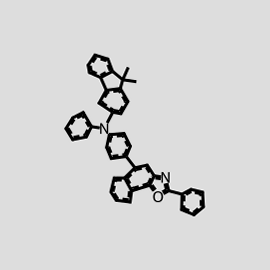 CC1(C)c2ccccc2-c2cc(N(c3ccccc3)c3ccc(-c4cc5nc(-c6ccccc6)oc5c5ccccc45)cc3)ccc21